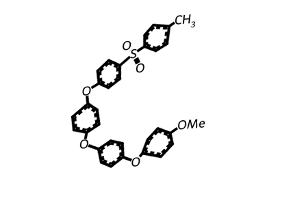 COc1ccc(Oc2ccc(Oc3ccc(Oc4ccc(S(=O)(=O)c5ccc(C)cc5)cc4)cc3)cc2)cc1